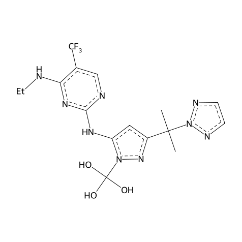 CCNc1nc(Nc2cc(C(C)(C)n3nccn3)nn2C(O)(O)O)ncc1C(F)(F)F